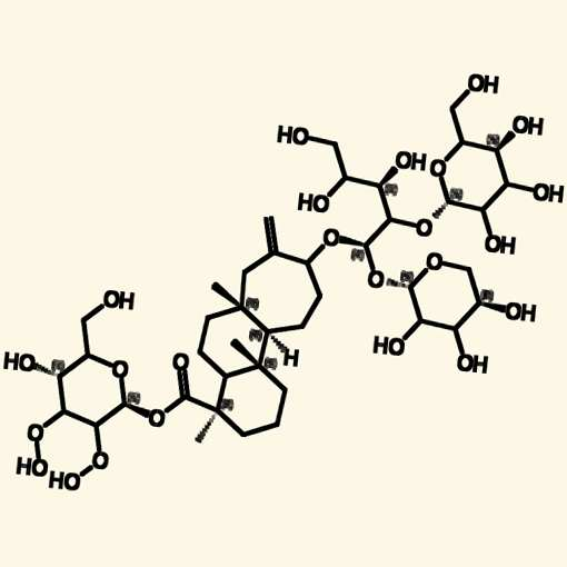 C=C1C[C@@]2(C)CCC3[C@](C)(C(=O)O[C@@H]4OC(CO)[C@@H](O)C(OO)C4OO)CCC[C@@]3(C)[C@@H]2CCC1O[C@H](O[C@@H]1OC[C@@H](O)C(O)C1O)C(O[C@@H]1OC(CO)[C@@H](O)C(O)C1O)[C@H](O)C(O)CO